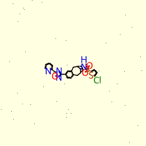 O=S(=O)(NC1C2CCC1Cc1cc(-c3noc(-c4ccccn4)n3)ccc1C2)c1ccc(Cl)s1